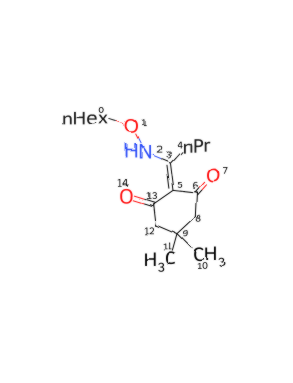 CCCCCCONC(CCC)=C1C(=O)CC(C)(C)CC1=O